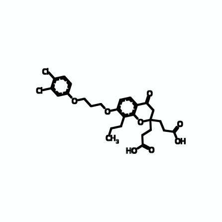 CCCc1c(OCCCOc2ccc(Cl)c(Cl)c2)ccc2c1OC(CCC(=O)O)(CCC(=O)O)CC2=O